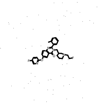 Cc1ccccc1-c1nc2ccc(Oc3ccc(F)cn3)cc2c(=O)n1CC1CCCN(CCF)C1